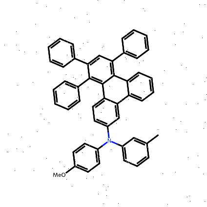 COc1ccc(N(c2cccc(C)c2)c2ccc3c(c2)c2ccccc2c2c(-c4ccccc4)cc(-c4ccccc4)c(-c4ccccc4)c32)cc1